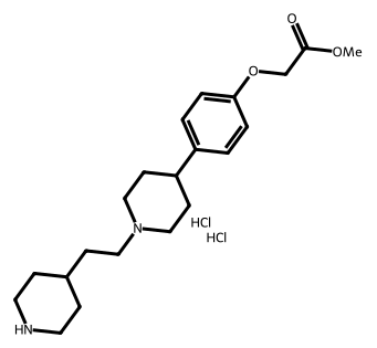 COC(=O)COc1ccc(C2CCN(CCC3CCNCC3)CC2)cc1.Cl.Cl